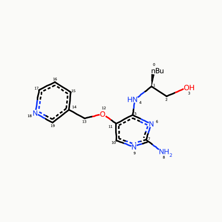 CCCC[C@@H](CO)Nc1nc(N)ncc1OCc1cccnc1